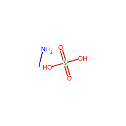 NI.O=S(=O)(O)O